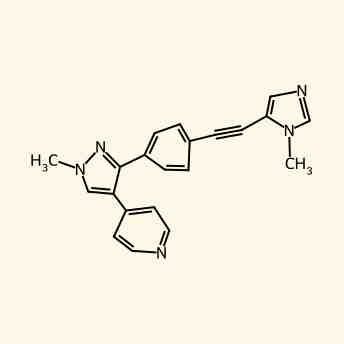 Cn1cc(-c2ccncc2)c(-c2ccc(C#Cc3cncn3C)cc2)n1